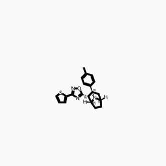 Cc1ccc([C@H]2C[C@@H]3CC[C@H]([C@@H]2c2nc(-c4cccs4)no2)N3C)cc1